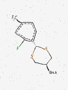 CC(C)(C)[C@H]1CS[C@H](c2ccc(C(F)(F)F)cc2F)SC1